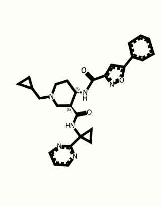 O=C(N[C@H]1CCN(CC2CC2)C[C@@H]1C(=O)NC1(c2ncccn2)CC1)c1cc(-c2ccccc2)on1